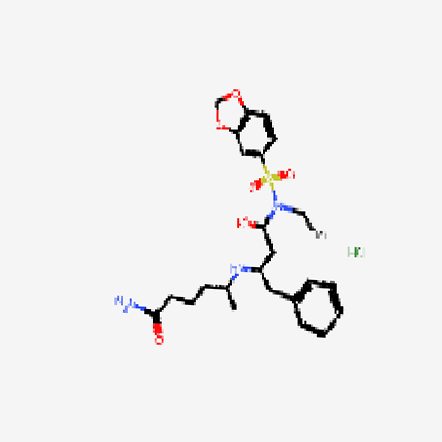 CC(C)CN(C(O)CC(Cc1ccccc1)NC(C)CCCC(N)=O)S(=O)(=O)c1ccc2c(c1)OCO2.Cl